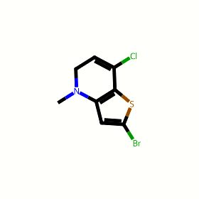 CN1CC=C(Cl)c2sc(Br)cc21